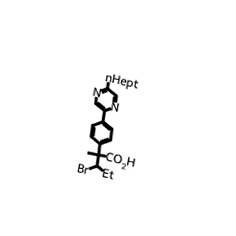 CCCCCCCc1cnc(-c2ccc(C(C)(C(=O)O)C(Br)CC)cc2)cn1